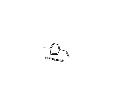 C=Cc1ccc(C)cc1.N=[N+]=N